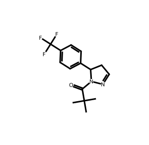 CC(C)(C)C(=O)N1N=CCC1c1ccc(C(F)(F)F)cc1